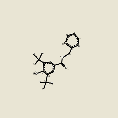 CC(C)(C)c1cc(C(=O)SCc2ccccn2)cc(C(C)(C)C)c1O